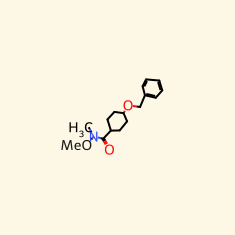 CON(C)C(=O)C1CCC(OCc2ccccc2)CC1